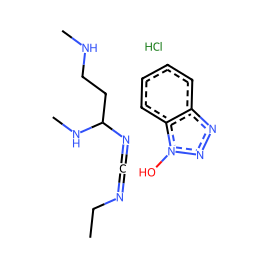 CCN=C=NC(CCNC)NC.Cl.On1nnc2ccccc21